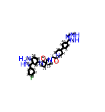 CN/C=N\C(=N)c1ccc(C2=CCN(C(=O)CN3CC[C@]4(CCN(c5ccc(N)c(C(=N)c6ccc(F)cc6)c5)C4=O)C3)CC2)cc1